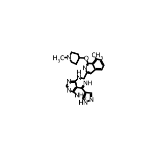 Cc1cccc2cc(CNc3ncnc(N)c3C(=N)c3cn[nH]c3)nc(OC3CCN(C)CC3)c12